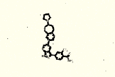 NC(=O)c1ccc(-c2n[nH]c3ncc(-c4ccc5c(c4)CCC(N4CCCC4)CC5)cc23)cc1C(F)(F)F